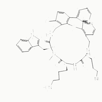 CN1C(=O)[C@H](CCCCN)NC(=O)[C@H](CCCN)NCc2ccncc2Sc2c(-c3cccnc3)ccc(Cl)c2CNC(=O)[C@@H]1Cc1c[nH]c2ccccc12